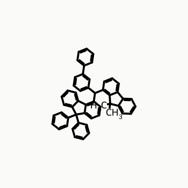 CC1(C)c2ccccc2-c2cccc(C(c3cccc(-c4ccccc4)c3)c3cccc4c3-c3ccccc3C4(c3ccccc3)c3ccccc3)c21